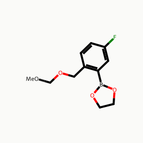 COCOCc1ccc(F)cc1B1OCCO1